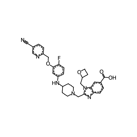 N#Cc1ccc(COc2cc(NC3CCN(Cc4nc5ccc(C(=O)O)cc5n4CC4CCO4)CC3)ccc2F)nc1